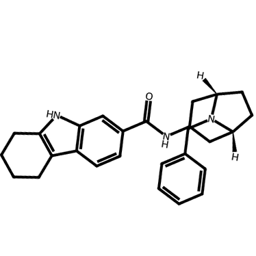 O=C(NC1C[C@H]2CC[C@@H](C1)N2Cc1ccccc1)c1ccc2c3c([nH]c2c1)CCCC3